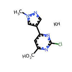 Cn1cc(-c2cc(C(=O)O)nc(Cl)n2)cn1.[KH]